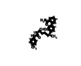 CN(CCCC(C=O)NC(=O)Nc1ccc(C(F)(F)F)cc1)c1ccc(-c2ccccc2C(N)=O)cc1